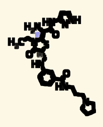 CCN1C(=O)[C@@H](CNc2cccc(C(=O)NCCCN3CCCC3)c2)S/C1=C(/N)C(=O)Nc1cc[nH]n1